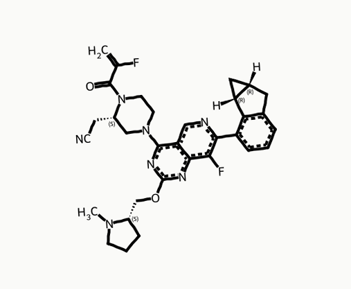 C=C(F)C(=O)N1CCN(c2nc(OC[C@@H]3CCCN3C)nc3c(F)c(-c4cccc5c4[C@@H]4C[C@@H]4C5)ncc23)C[C@@H]1CC#N